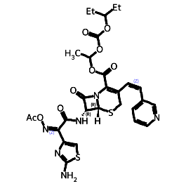 CCC(CC)OC(=O)OC(C)OC(=O)C1=C(/C=C\c2cccnc2)CS[C@@H]2[C@H](NC(=O)/C(=N\OC(C)=O)c3csc(N)n3)C(=O)N12